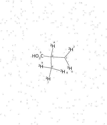 [2H]C([2H])C([2H])(C(=O)O)C([2H])([2H])[2H]